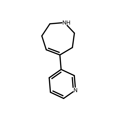 C1=C(c2cccnc2)CCNCC1